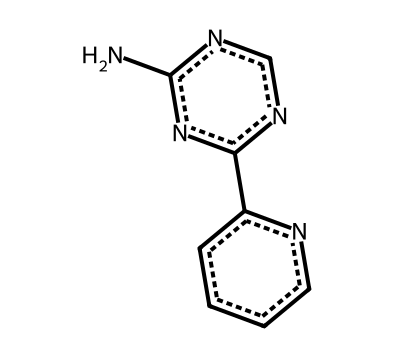 Nc1ncnc(-c2ccccn2)n1